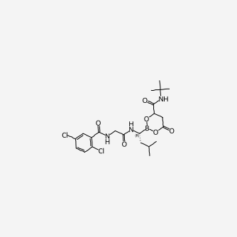 CC(C)C[C@H](NC(=O)CNC(=O)c1cc(Cl)ccc1Cl)B1OC(=O)CC(C(=O)NC(C)(C)C)O1